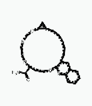 NC(=O)c1ccoc2nc3ccccc3cc2cccccc2cc-2ocnccn1